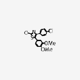 COc1ccc(-c2sc(Cl)nc2-c2ccc(Cl)cc2)cc1OC